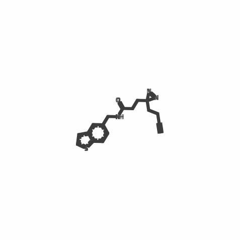 C#CCCC1(CCC(=O)NCc2ccc3sccc3c2)N=N1